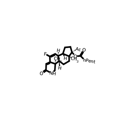 CCCCCC(=O)O[C@]1(C(C)=O)CC[C@H]2[C@@H]3C=C(F)C4=CC(=O)NC[C@]4(C)[C@H]3CC[C@@]21C